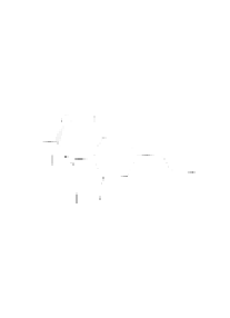 CCCC1CC(O)C(NC(C)=O)[C@H](O)O1